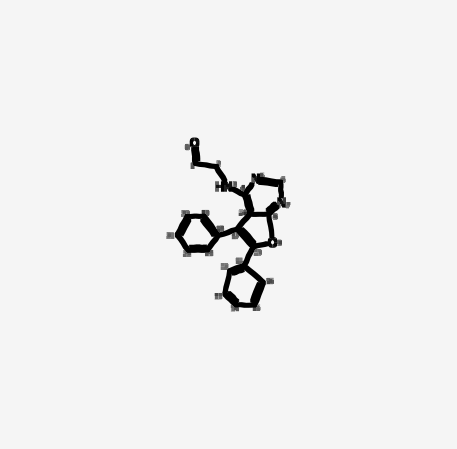 O=CCNc1ncnc2oc(-c3ccccc3)c(-c3ccccc3)c12